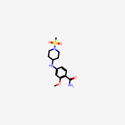 COc1cc(NC2CCN(S(C)(=O)=O)CC2)ccc1C(N)=O